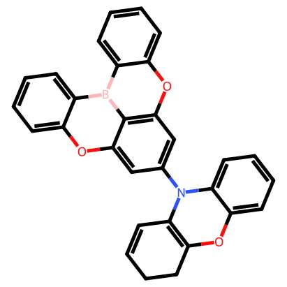 C1=CC2=C(CC1)Oc1ccccc1N2c1cc2c3c(c1)Oc1ccccc1B3c1ccccc1O2